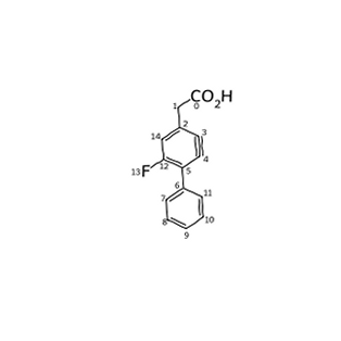 O=C(O)Cc1c#cc(-c2ccccc2)c(F)c1